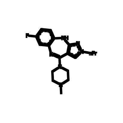 CCCn1cc2c(n1)Nc1ccc(F)cc1N=C2N1CCN(C)CC1